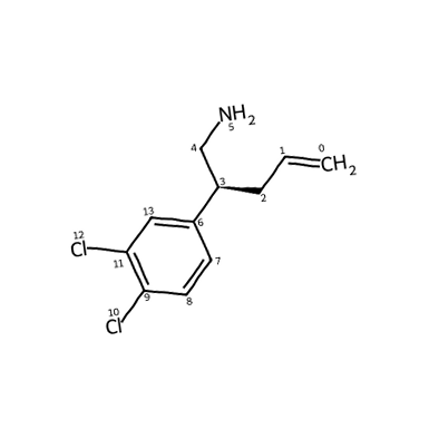 C=CC[C@H](CN)c1ccc(Cl)c(Cl)c1